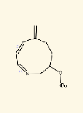 C=C1/C=C\C=N/CC(OC(C)(C)C)CC1